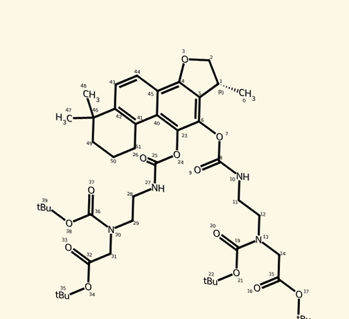 C[C@H]1COc2c1c(OC(=O)NCCN(CC(=O)OC(C)(C)C)C(=O)OC(C)(C)C)c(OC(=O)NCCN(CC(=O)OC(C)(C)C)C(=O)OC(C)(C)C)c1c3c(ccc21)C(C)(C)CCC3